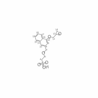 O=S(=O)(O)CCOCc1cc(OCC2CO2)c2ccccc2c1